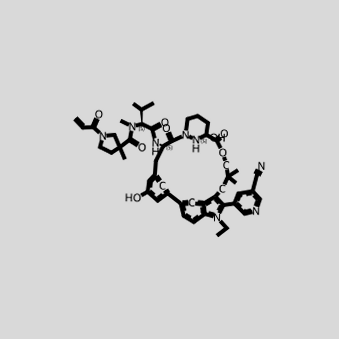 C=CC(=O)N1CCC(C)(C(=O)N(C)[C@H](C(=O)N[C@H]2Cc3cc(O)cc(c3)-c3ccc4c(c3)c(c(-c3cncc(C#N)c3)n4CC)CC(C)(C)COC(=O)[C@@]3(O)CCCN(N3)C2=O)C(C)C)C1